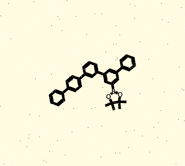 CC1(C)OB(c2cc(-c3ccccc3)cc(-c3cccc(-c4ccc(-c5ccccc5)cc4)c3)c2)OC1(C)C